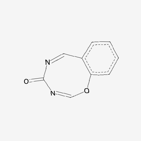 O=C1N=COc2ccccc2C=N1